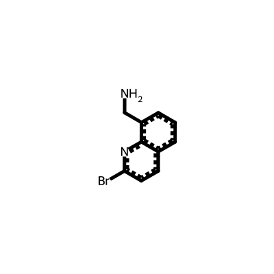 NCc1cccc2ccc(Br)nc12